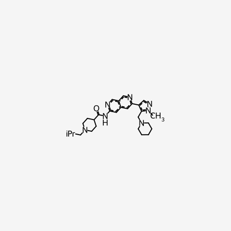 CC(C)CN1CCC(C(=O)Nc2cc3cc(-c4cnn(C)c4CN4CCCCC4)ncc3cn2)CC1